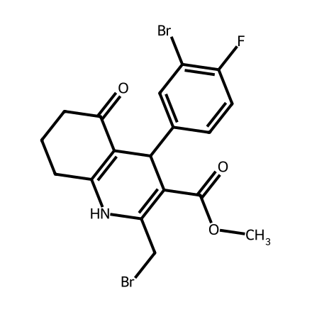 COC(=O)C1=C(CBr)NC2=C(C(=O)CCC2)C1c1ccc(F)c(Br)c1